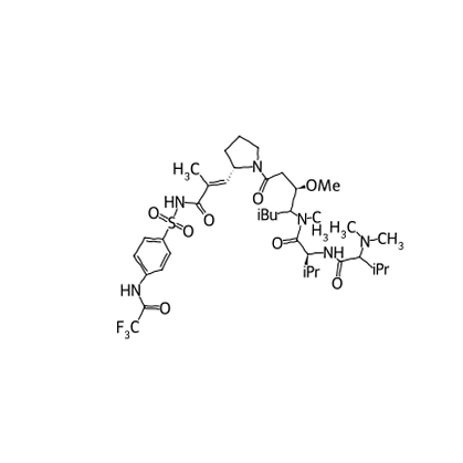 CCC(C)C([C@@H](CC(=O)N1CCC[C@H]1/C=C(\C)C(=O)NS(=O)(=O)c1ccc(NC(=O)C(F)(F)F)cc1)OC)N(C)C(=O)[C@@H](NC(=O)C(C(C)C)N(C)C)C(C)C